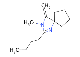 C=C1N(C)C(CCCC)=NC12CCCC2